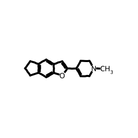 CN1CC=C(c2cc3cc4c(cc3o2)CCC4)CC1